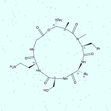 CCCCCCCCCC[C@H]1OC(=O)CNC(=O)[C@H](CCN)NC(=O)[C@H](CO)NC(=O)[C@H]([C@@H](C)CC)NC(=O)[C@H](CC(C)C)N(C)C(=O)[C@@H]1C